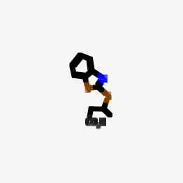 CC(CC(=O)O)Sc1nc2ccccc2s1